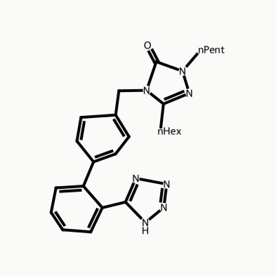 CCCCCCc1nn(CCCCC)c(=O)n1Cc1ccc(-c2ccccc2-c2nnn[nH]2)cc1